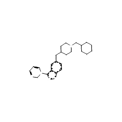 C1=CN(c2noc3ccc(CC4CCN(CC5CCCCC5)CC4)cc23)CN=C1